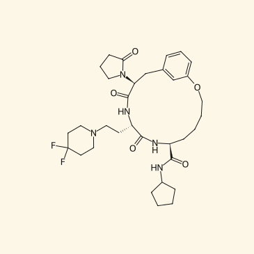 O=C(NC1CCCC1)[C@@H]1CCCCOc2cccc(c2)C[C@H](N2CCCC2=O)C(=O)N[C@@H](CCN2CCC(F)(F)CC2)C(=O)N1